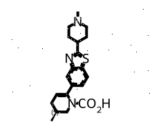 C[C@H]1CC=C(c2ccc3sc(C4CCN(C)CC4)nc3c2)N(C(=O)O)C1